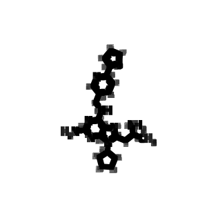 CC(N)Cc1nc2c(NCc3ccc(-c4cccs4)nc3)nc(N)nc2n1C1CCCC1